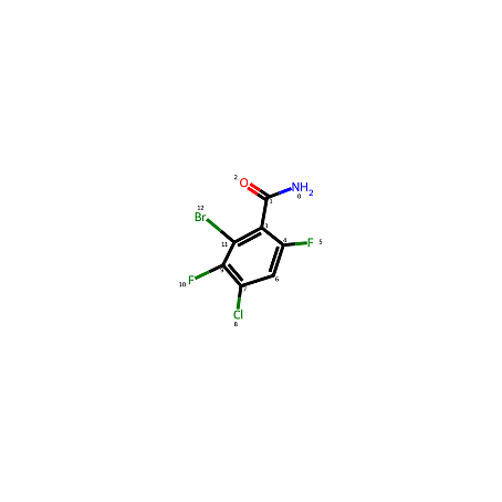 NC(=O)c1c(F)cc(Cl)c(F)c1Br